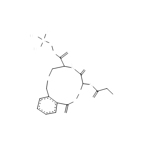 CC(C)(C)[Si](C)(C)OOC(=O)C1CSCc2ccccc2C(=O)OCC(NC(=O)CCl)C(=O)N1